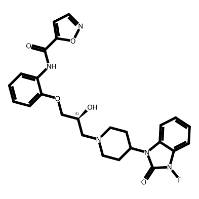 O=C(Nc1ccccc1OC[C@@H](O)CN1CCC(n2c(=O)n(F)c3ccccc32)CC1)c1ccno1